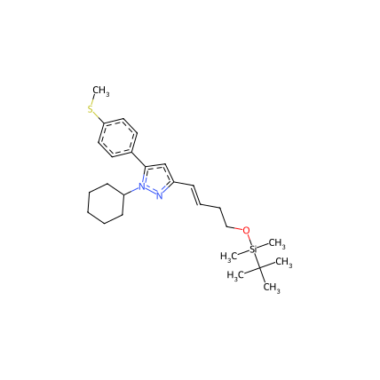 CSc1ccc(-c2cc(/C=C/CCO[Si](C)(C)C(C)(C)C)nn2C2CCCCC2)cc1